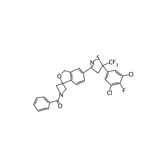 O=C(c1ccccc1)N1CC2(C1)OCc1cc(C3=NSC(c4cc(Cl)c(F)c(Cl)c4)(C(F)(F)F)C3)ccc12